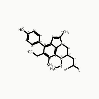 CCc1c(C)c2c3c(cc(C)n3CC(CC(F)F)N2SC)c1-c1ccc(O)cc1